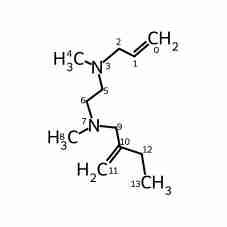 C=CCN(C)CCN(C)CC(=C)CC